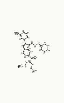 CC(C)CCN(CCC(C)C)C(=O)c1ccc2nc(-c3cccc(C#N)c3)n(CCCN3CCCCC3)c2c1